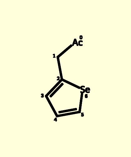 CC(=O)Cc1ccc[se]1